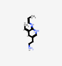 C\C=C/N=C1/NC=C(CCN)C/C1=C/C